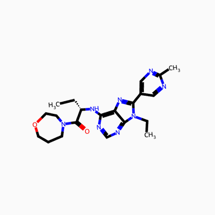 CC[C@H](Nc1ncnc2c1nc(-c1cnc(C)nc1)n2CC)C(=O)N1CCCOCC1